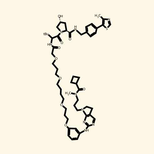 Cc1ncsc1-c1ccc(CNC(=O)[C@@H]2C[C@@H](O)CN2C(=O)C(NC(=O)COCCCOCCCCOCCCOc2cccc(Nc3ncc4c(n3)N(CCCN(C)C(=O)C3CCC3)CC4)c2)C(C)(C)C)cc1